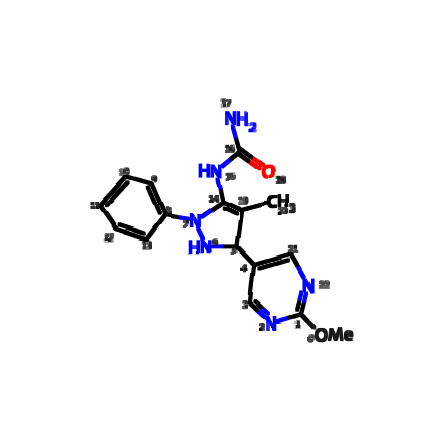 COc1ncc(C2NN(c3ccccc3)C(NC(N)=O)=C2C)cn1